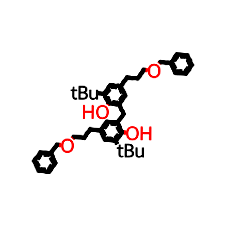 CC(C)(C)c1cc(CCCOCc2ccccc2)cc(Cc2cc(CCCOCc3ccccc3)cc(C(C)(C)C)c2O)c1O